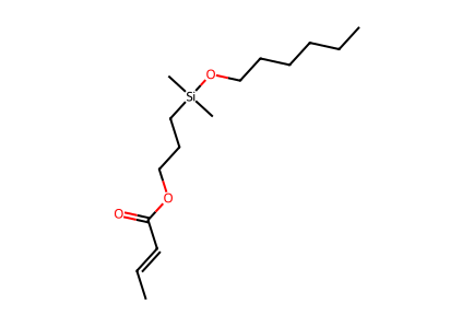 CC=CC(=O)OCCC[Si](C)(C)OCCCCCC